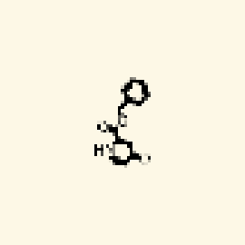 O=C1C=CNC(C(=O)OCc2ccccc2)C1